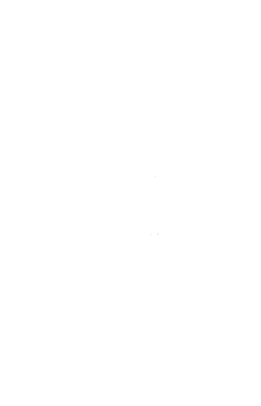 [O]C(O)P=O